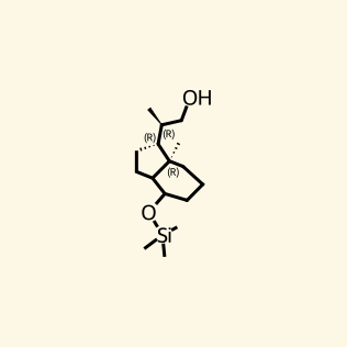 C[C@@H](CO)[C@H]1CCC2C(O[Si](C)(C)C)CCC[C@@]21C